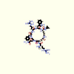 CCN[C@@H](CCCNC(=N)N)C(=O)N[C@H]1CCC(=O)NCCC[C@@H](C(=O)NC2CC2)NC(=O)[C@H](Cc2c[nH]c3ccccc23)NC(=O)[C@H](CCCNC(=N)N)NC(=O)[C@@H](Cc2ccccc2)NC(=O)[C@H](CCC(N)=O)NC1=O